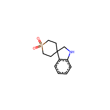 O=S1(=O)CCC2(CC1)CNc1ccccc12